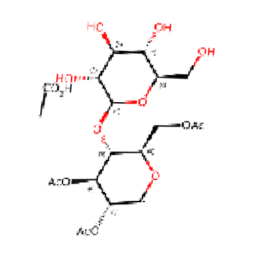 CC(=O)O.CC(=O)OC[C@H]1O[CH][C@H](OC(C)=O)[C@@H](OC(C)=O)[C@@H]1O[C@@H]1O[C@H](CO)[C@@H](O)[C@H](O)[C@H]1O